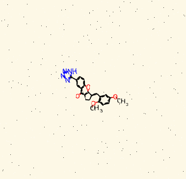 COc1ccc(OC)c(C=C2CCc3c2oc2ccc(-c4nnn[nH]4)cc2c3=O)c1